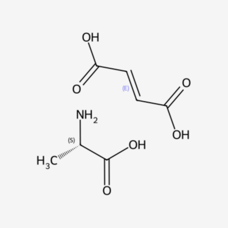 C[C@H](N)C(=O)O.O=C(O)/C=C/C(=O)O